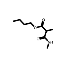 CCCCOC(=O)C(C)C(=O)NC